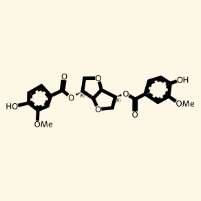 COc1cc(C(=O)O[C@@H]2COC3C2OC[C@H]3OC(=O)c2ccc(O)c(OC)c2)ccc1O